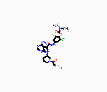 C=CC(=O)N1CCCC(n2nc(C(=O)Nc3cc(Cl)c(OC(=O)N(C)C)c(Cl)c3)c3c(N)ncnc32)C1